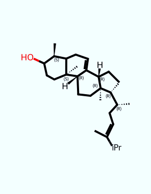 CC(=CC[C@@H](C)[C@H]1CC[C@H]2C3=CCC4[C@H](C)C(O)CC[C@]4(C)[C@H]3CC[C@]12C)C(C)C